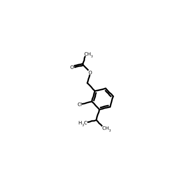 CC(=O)OCc1cccc(C(C)C)c1Cl